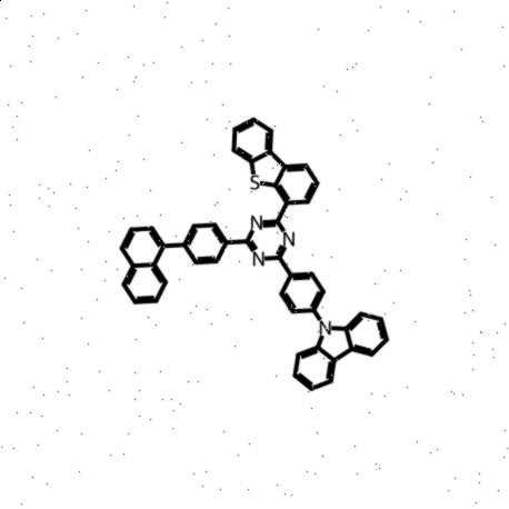 c1ccc2c(-c3ccc(-c4nc(-c5ccc(-n6c7ccccc7c7ccccc76)cc5)nc(-c5cccc6c5sc5ccccc56)n4)cc3)cccc2c1